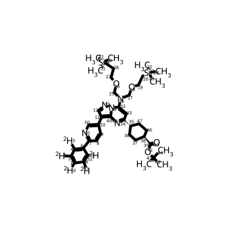 [2H]c1c([2H])c([2H])c(-c2ccc(-c3cnn4c(N(COCC[Si](C)(C)C)COCC[Si](C)(C)C)cc([C@H]5CC[C@H](C(=O)OC(C)(C)C)CC5)nc34)cn2)c([2H])c1[2H]